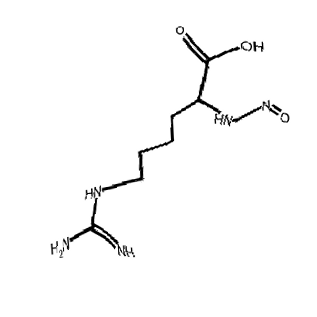 N=C(N)NCCCCC(NN=O)C(=O)O